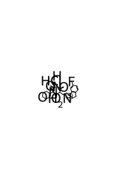 Cl.N[C@@]1(CCC2C(=O)NC(=O)N(C3CCOCC3)C2=O)CCc2ccc(F)cc21